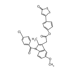 COc1ccc2c(c1)c(CC(=O)Oc1ccc(-c3cc(=O)ss3)cc1)c(C)n2C(=O)c1ccc(Cl)cc1